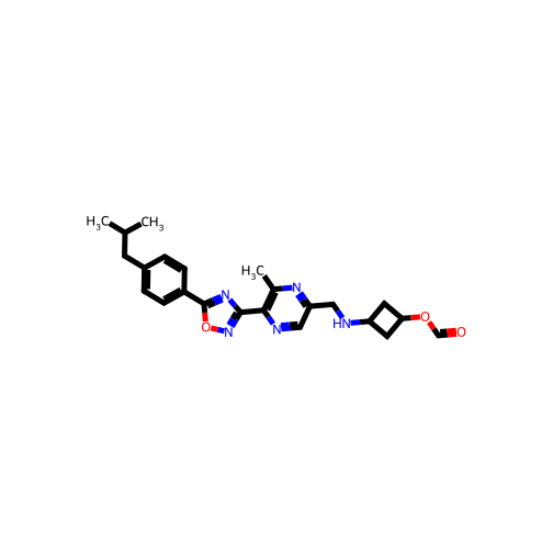 Cc1nc(CNC2CC(OC=O)C2)cnc1-c1noc(-c2ccc(CC(C)C)cc2)n1